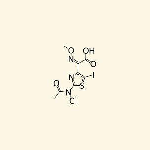 CON=C(C(=O)O)c1nc(N(Cl)C(C)=O)sc1I